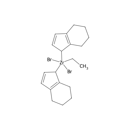 C[CH2][Zr]([Br])([Br])([CH]1C=CC2=C1CCCC2)[CH]1C=CC2=C1CCCC2